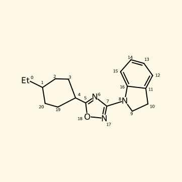 CCC1CCC(c2nc(N3CCc4ccccc43)no2)CC1